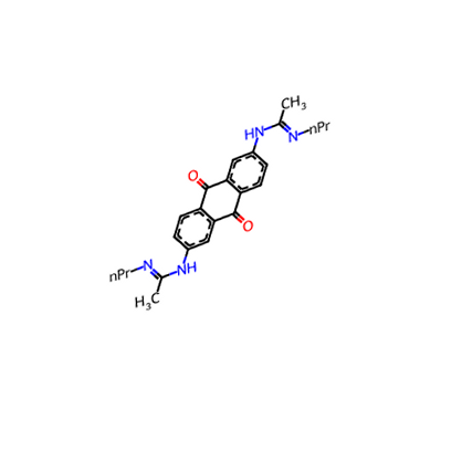 CCCN=C(C)Nc1ccc2c(c1)C(=O)c1ccc(NC(C)=NCCC)cc1C2=O